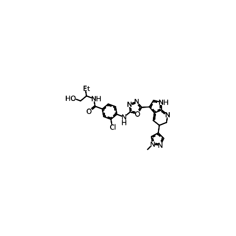 CCC(CO)NC(=O)c1ccc(Nc2nnc(-c3c[nH]c4c3=CC(c3cnn(C)c3)CN=4)o2)c(Cl)c1